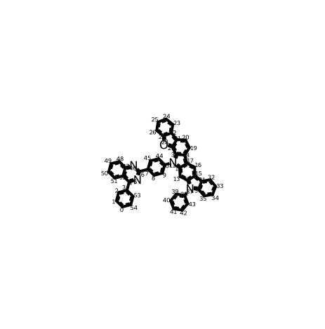 c1ccc(-c2nc(-c3ccc(-n4c5cc6c(cc5c5ccc7c8ccccc8oc7c54)c4ccccc4n6-c4ccccc4)cc3)nc3ccccc23)cc1